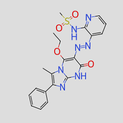 CCOc1c(/N=N/c2cccnc2NS(C)(=O)=O)c(=O)[nH]c2nc(-c3ccccc3)c(C)n12